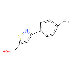 OCc1cc(-c2ccc(C(F)(F)F)cc2)ns1